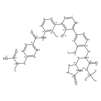 COc1cc(-c2nccc(-c3cccc(NC(=O)c4ccc(CN(C)C(=O)O)cn4)c3C)c2Cl)ccc1CN(CC1CCC(=O)N1)C(=O)OC(C)(C)C